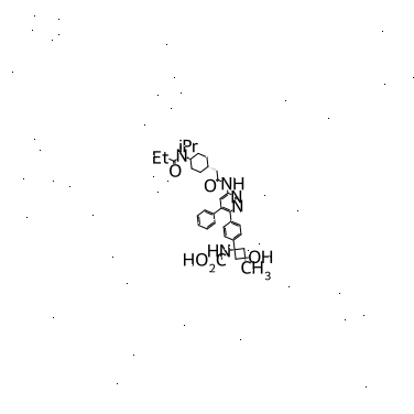 CCC(=O)N(C(C)C)[C@H]1CC[C@H](CC(=O)Nc2cc(-c3ccccc3)c(-c3ccc([C@]4(NC(=O)O)C[C@@](C)(O)C4)cc3)nn2)CC1